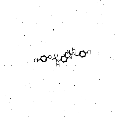 O=C(COc1ccc(Cl)cc1)Nc1ccc2nc(NCc3ccc(Cl)cc3)ncc2c1